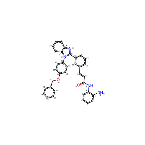 Nc1ccccc1NC(=O)C=Cc1cccc(-c2nc3ccccc3n2-c2ccc(OCc3ccccc3)cc2)c1